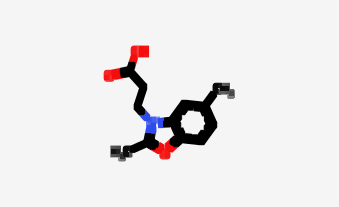 Cc1ccc2oc(C)[n+](CCC(=O)O)c2c1